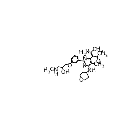 CNCC(O)COc1cccc(-c2nc(NC3CCOCC3)c(C)c(/C(C(C)=O)=C(/C)N)n2)c1